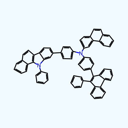 c1ccc(-c2c(-c3ccc(N(c4ccc(-c5ccc6c7ccc8ccccc8c7n(-c7ccccc7)c6c5)cc4)c4ccc5ccc6ccccc6c5c4)cc3)c3ccccc3c3ccccc23)cc1